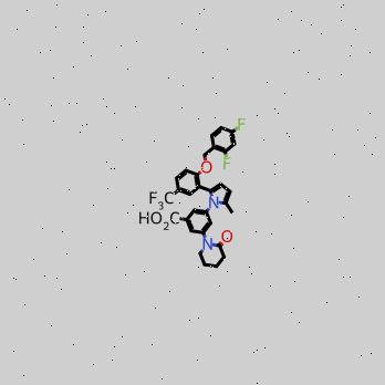 Cc1ccc(-c2cc(C(F)(F)F)ccc2OCc2ccc(F)cc2F)n1-c1cc(C(=O)O)cc(N2CCCCC2=O)c1